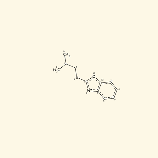 CC(C)CSc1nc2ccccc2o1